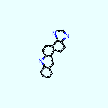 c1ccc2nc3ccc4c(ccc5nccnc54)c3cc2c1